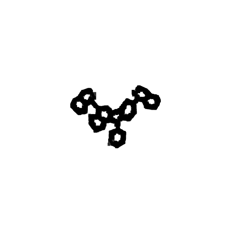 c1cncc(-n2c3ccc(-c4nccc5ccccc45)cc3c3cc(-c4nccc5ccccc45)c4ccccc4c32)c1